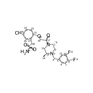 C[C@@H]1CN(Cc2ccc(F)c(F)c2)[C@@H](C)CN1C(=O)COc1ccc(Cl)cc1CS(N)(=O)=O